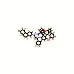 c1ccc(-c2nc(-c3ccc4c(ccc5ccccc54)c3)cc(-c3ccccc3-c3ccc4c(c3)Oc3ccccc3C43c4ccccc4-c4ccccc43)n2)cc1